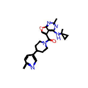 Cc1ccc(C2CCN(C(=O)c3coc4nc(C)nc(NC5(C)CC5)c34)CC2)cn1